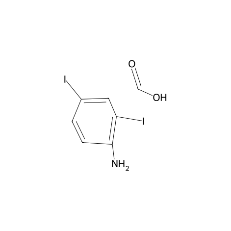 Nc1ccc(I)cc1I.O=CO